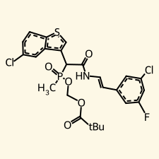 CC(C)(C)C(=O)OCOP(C)(=O)C(C(=O)N/C=C/c1cc(F)cc(Cl)c1)c1csc2ccc(Cl)cc12